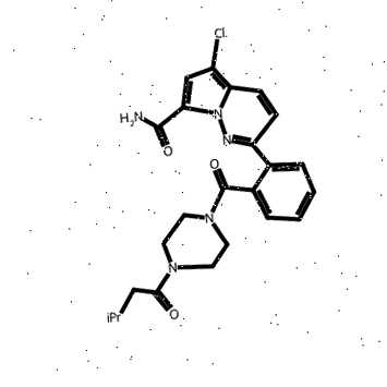 CC(C)CC(=O)N1CCN(C(=O)c2ccccc2-c2ccc3c(Cl)cc(C(N)=O)n3n2)CC1